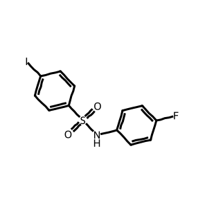 O=S(=O)(Nc1ccc(F)cc1)c1ccc(I)cc1